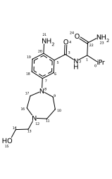 CC(C)C(NC(=O)c1cc(N2CCCN(CCO)CC2)ccc1N)C(N)=O